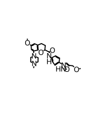 COCC1=CN(c2ccc(NC(=O)C3CCc4cc(OC)cc(N5CCN(C)CC5)c4O3)cc2)NO1